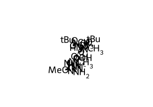 COc1nc(N)nc2c1ncn2[C@@H]1O[C@H](COP(=O)(N[C@@H](C)C(=O)OC(C)(C)C)N[C@H](C)C(=O)OC(C)(C)C)[C@@H](O)[C@@]1(C)N=[N+]=[N-]